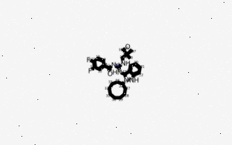 CC1(CN/C(=N/C(=O)c2ccc(F)c(F)c2)NC2c3ccccc3NN2C2CCCCCCCC2)COC1